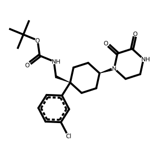 CC(C)(C)OC(=O)NC[C@]1(c2cccc(Cl)c2)CC[C@H](N2CCNC(=O)C2=O)CC1